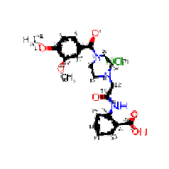 COc1ccc(C(=O)N2CCN(CC(=O)Nc3ccccc3C(=O)O)CC2)cc1OC.Cl